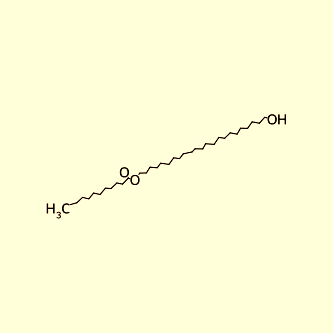 CCCCCCCCCCCC(=O)OCCCCCCCCCCCCCCCCCCCCCCCO